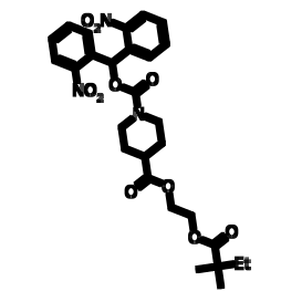 CCC(C)(C)C(=O)OCCOC(=O)C1CCN(C(=O)OC(c2ccccc2[N+](=O)[O-])c2ccccc2[N+](=O)[O-])CC1